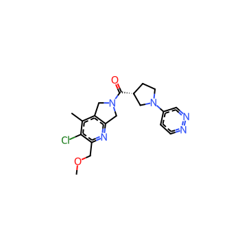 COCc1nc2c(c(C)c1Cl)CN(C(=O)[C@@H]1CCN(c3ccnnc3)C1)C2